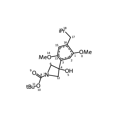 COc1cc(C2(O)CN(C(=O)OC(C)(C)C)C2)c(OC)cc1CC(C)C